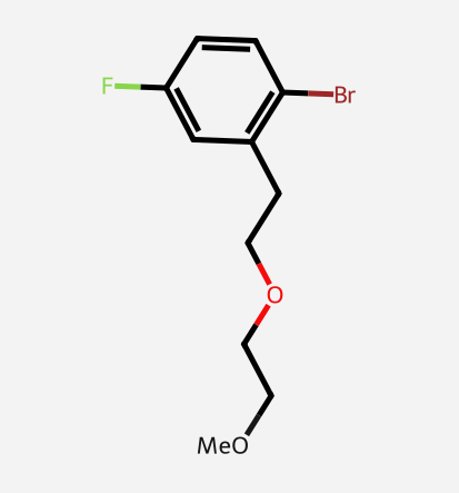 COCCOCCc1cc(F)ccc1Br